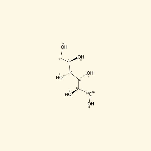 OC[C@@H](O)[C@@H](O)[C@H](O)[C@H](O)[13CH2]O